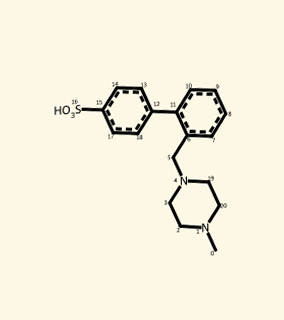 CN1CCN(Cc2ccccc2-c2ccc(S(=O)(=O)O)cc2)CC1